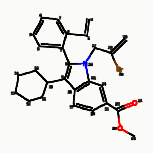 C=Cc1ccccc1-c1c(C2CCCCC2)c2ccc(C(=O)OC)cc2n1CC(=C)Br